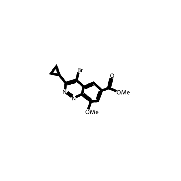 COC(=O)c1cc(OC)c2nnc(C3CC3)c(Br)c2c1